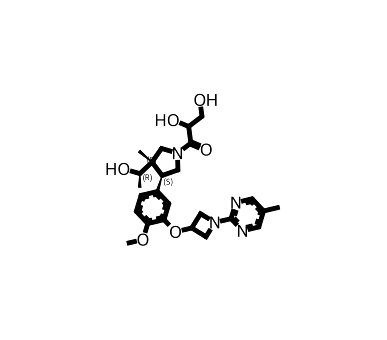 COc1ccc([C@@H]2CN(C(=O)C(O)CO)C[C@@]2(C)[C@@H](C)O)cc1OC1CN(c2ncc(C)cn2)C1